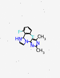 Cc1cc(N2C=CNC2c2c(F)cccc2F)nc(C)n1